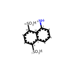 [NH]c1cccc2c(S(=O)(=O)O)ccc(S(=O)(=O)O)c12